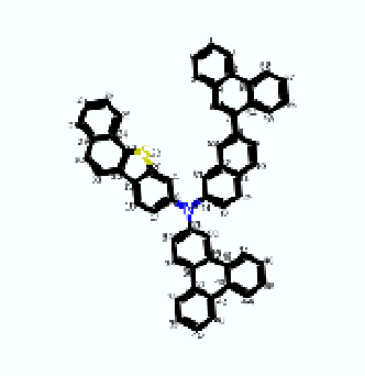 c1ccc2c(c1)cc(-c1ccc3ccc(N(c4ccc5c(c4)sc4c6ccccc6ccc54)c4ccc5c6ccccc6c6ccccc6c5c4)cc3c1)c1ccccc12